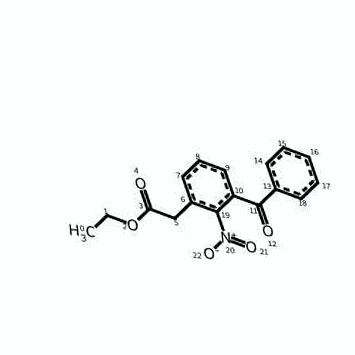 CCOC(=O)Cc1cccc(C(=O)c2ccccc2)c1[N+](=O)[O-]